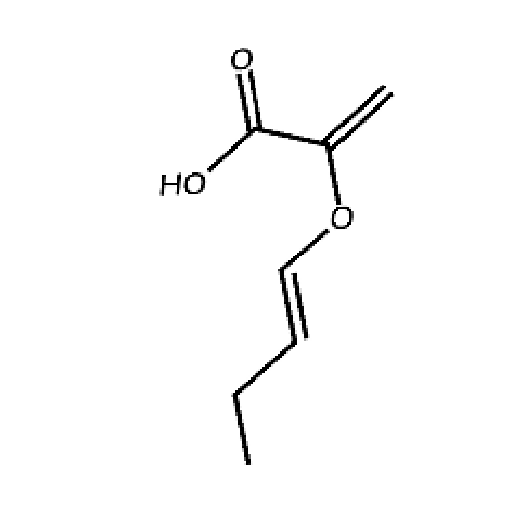 C=C(OC=CCC)C(=O)O